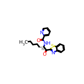 CCCCC[C@H](NC(=O)c1ccccn1)C(=O)c1nc2ccccc2s1